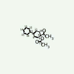 CC(=O)OC1(C(C)=O)C=CC(c2ccccc2)=CC1